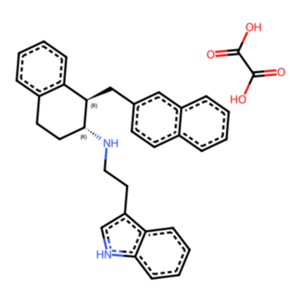 O=C(O)C(=O)O.c1ccc2c(c1)CC[C@@H](NCCc1c[nH]c3ccccc13)[C@@H]2Cc1ccc2ccccc2c1